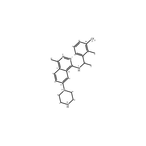 Cc1c(C(C)Nc2nnc(C)c3ccc(N4CCNCC4)cc23)cccc1C(F)(F)F